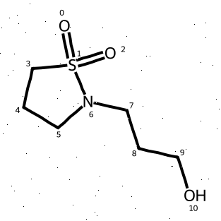 O=S1(=O)CCCN1CCCO